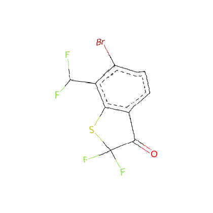 O=C1c2ccc(Br)c(C(F)F)c2SC1(F)F